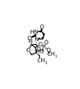 CC[C@@]12CO[C@@H](C1OP(=O)(O)OC)[C@H](n1ccc(=O)[nH]c1=O)O2